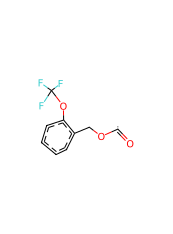 O=[C]OCc1ccccc1OC(F)(F)F